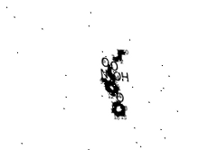 CCCCOC(=O)c1ncc2ccc(OC3CCCCC3)cc2c1O